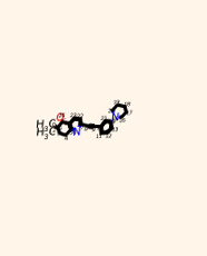 CC1(C)CCc2nc(C#Cc3cccc(N4CCCCC4)c3)ccc2C1=O